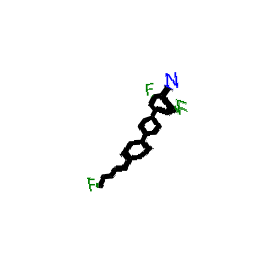 N#Cc1c(F)cc(C2CCC(C3CCC(C=CCCCF)CC3)CC2)cc1F